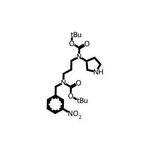 CC(C)(C)OC(=O)N(CCCN(C(=O)OC(C)(C)C)C1CCNC1)Cc1cccc([N+](=O)[O-])c1